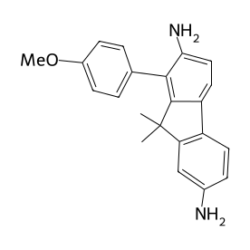 COc1ccc(-c2c(N)ccc3c2C(C)(C)c2cc(N)ccc2-3)cc1